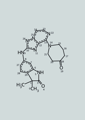 CC1(C)C(=O)Nc2cc(Nc3nc4c(N5CCCC(=O)CC5)nccn4n3)ccc21